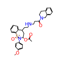 COc1ccc(N2C(OC(C)=O)CC(CCNCCC(=O)N3CCc4ccccc4C3)c3ccccc3[S+]2[O-])cc1